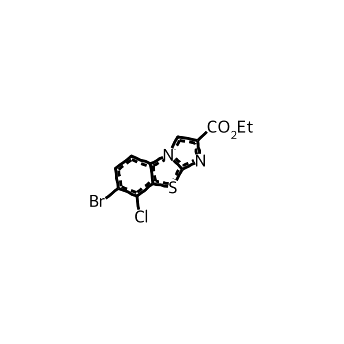 CCOC(=O)c1cn2c(n1)sc1c(Cl)c(Br)ccc12